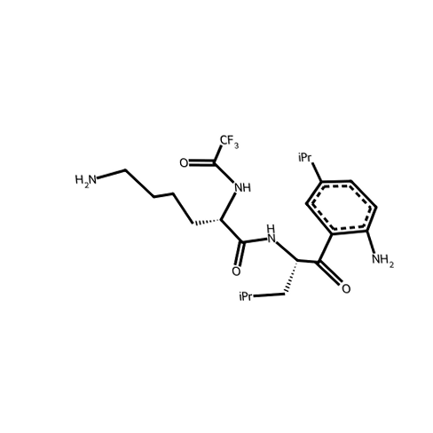 CC(C)C[C@H](NC(=O)[C@H](CCCCN)NC(=O)C(F)(F)F)C(=O)c1cc(C(C)C)ccc1N